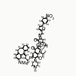 CC1COc2c(N3CCN(C)CC3)c(F)cc3c(=O)c(C(=O)O)cn1c23.CNCCC=C1c2ccccc2CCc2ccccc21.O=C1CN(N=Cc2ccc(-c3ccc([N+](=O)[O-])cc3)o2)C(=O)N1